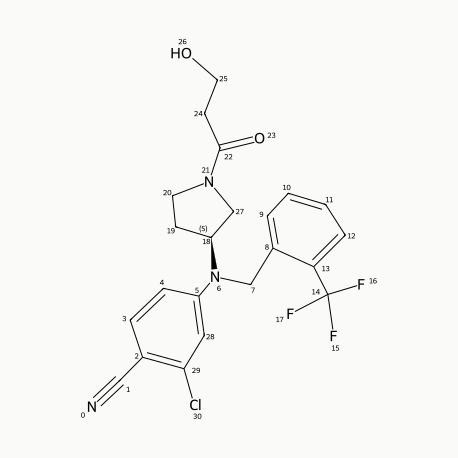 N#Cc1ccc(N(Cc2ccccc2C(F)(F)F)[C@H]2CCN(C(=O)CCO)C2)cc1Cl